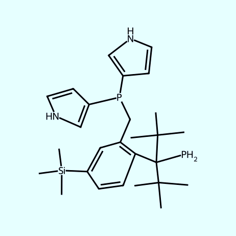 CC(C)(C)C(P)(c1ccc([Si](C)(C)C)cc1CP(c1cc[nH]c1)c1cc[nH]c1)C(C)(C)C